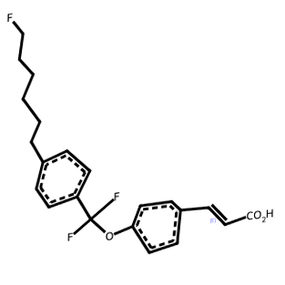 O=C(O)/C=C/c1ccc(OC(F)(F)c2ccc(CCCCCCF)cc2)cc1